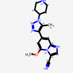 COc1cc(-c2nnn(C3CCNCC3)c2C)cc2ncc(C#N)n12